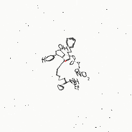 C=CC(CCc1ccccc1)(OC(=O)[C@@H]1C[C@H]1CO[N+](=O)[O-])[C@@H]1[C@@H](C/C=C\CCCC(=O)NCC)[C@@H](O)C[C@H]1O